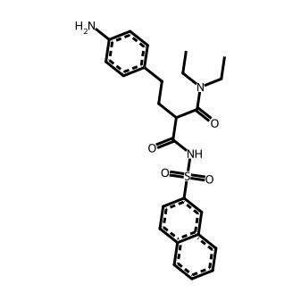 CCN(CC)C(=O)C(CCc1ccc(N)cc1)C(=O)NS(=O)(=O)c1ccc2ccccc2c1